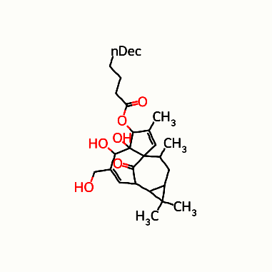 CCCCCCCCCCCCCC(=O)OC1C(C)=CC23C(=O)C(C=C(CO)C(O)C12O)C1C(CC3C)C1(C)C